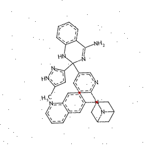 Cc1cc(C2(c3ccc(N4CC5CC(C4)N5Cc4ccc5ncccc5c4)nc3)N=C(N)c3ccccc3N2)n[nH]1